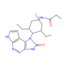 CCC(=O)NC1(C)CC(CC)C(n2c(=O)[nH]c3cnc4[nH]ccc4c32)C(CC)C1